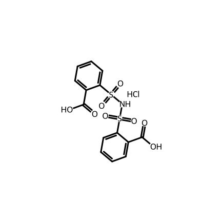 Cl.O=C(O)c1ccccc1S(=O)(=O)NS(=O)(=O)c1ccccc1C(=O)O